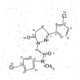 CN(C(=O)CN1N=C(c2cccc(Cl)c2)CCC1=O)c1ccc(Cl)cc1